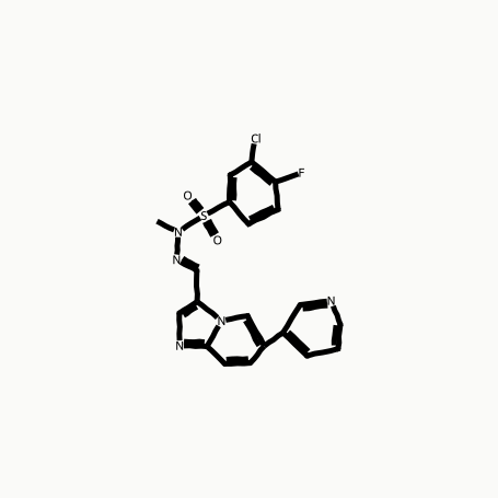 CN(N=Cc1cnc2ccc(-c3cccnc3)cn12)S(=O)(=O)c1ccc(F)c(Cl)c1